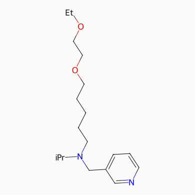 CCOCCOCCCCCN(Cc1cccnc1)C(C)C